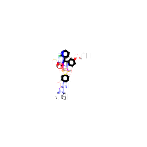 CCOc1ccc2c(c1)C(NC(C)=O)(c1ccccc1Cl)C(=O)N2S(=O)(=O)c1ccc(NC(=O)N(CC)CC)cc1